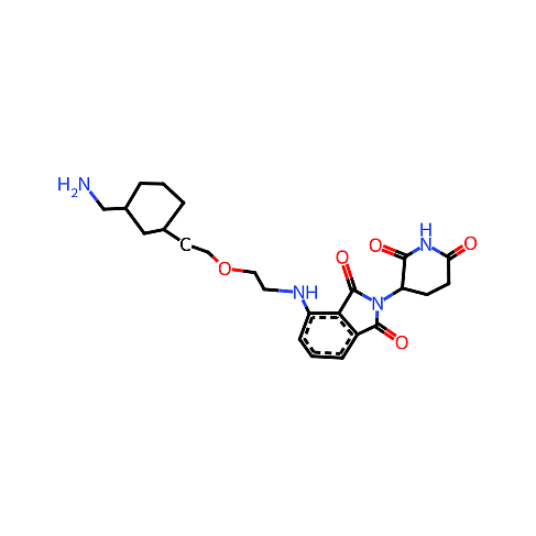 NCC1CCCC(CCOCCNc2cccc3c2C(=O)N(C2CCC(=O)NC2=O)C3=O)C1